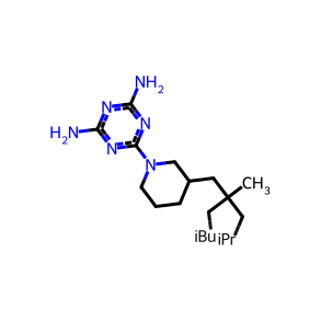 CCC(C)CC(C)(CC(C)C)CC1CCCN(c2nc(N)nc(N)n2)C1